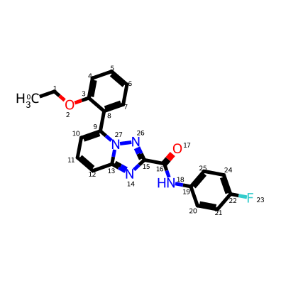 CCOc1ccccc1-c1cccc2nc(C(=O)Nc3ccc(F)cc3)nn12